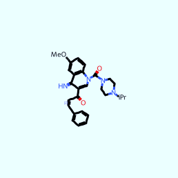 COc1ccc2c(c1)c(=N)c(C(=O)/C=C\c1ccccc1)cn2C(=O)N1CCN(C(C)C)CC1